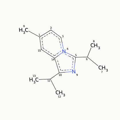 Cc1ccn2c(C(C)C)nc(C(C)C)c2c1